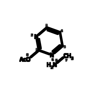 CC(=O)Oc1ncccn1.CN